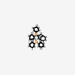 c1ccc(P(C[C@H]2C3CCCC(C3)C[C@@H]2P(c2ccccc2)c2ccccc2)c2ccccc2)cc1